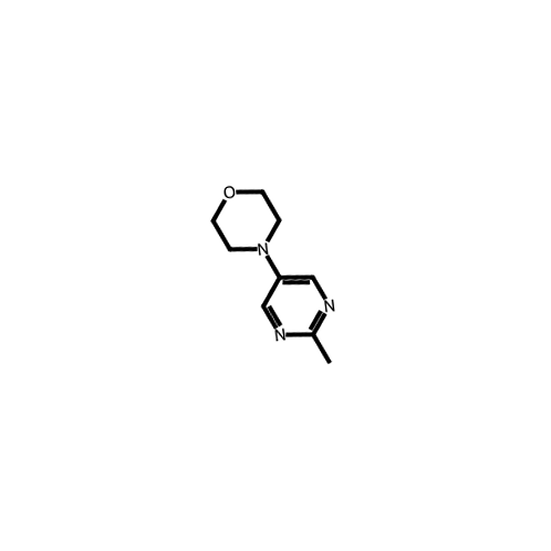 Cc1ncc(N2CCOCC2)cn1